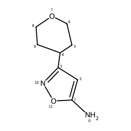 Nc1cc(C2CCOCC2)no1